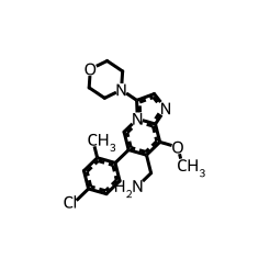 COc1c(CN)c(-c2ccc(Cl)cc2C)cn2c(N3CCOCC3)cnc12